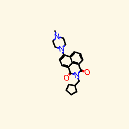 CN1CCN(c2ccc3c4c(cccc24)C(=O)N(CC2CCCC2)C3=O)CC1